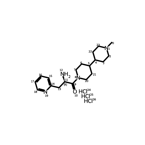 CN1CCC(C2CCN(C(=O)[C@H](N)Cc3ccccn3)CC2)CC1.Cl.Cl.Cl